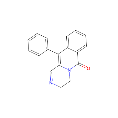 O=c1c2ccccc2c(-c2ccccc2)c2n1CCN=C2